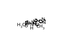 COc1nc(N[C@H]2C[C@@]3(CCN3C(C)=O)C2)nn2ccc(-c3ccc4nccnc4c3)c12